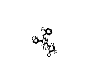 O=c1[nH]c(-c2nc(-c3ccon3)n(Cc3ccccc3F)n2)ncc1F